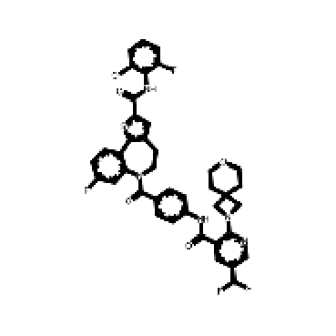 O=C(Nc1c(F)cccc1Cl)c1cc2c(s1)-c1ccc(F)cc1N(C(=O)c1ccc(NC(=O)c3cc(C(F)F)cnc3N3CC4(CCOCC4)C3)cc1)CC2